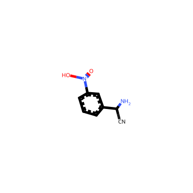 N#CC(N)c1cccc([N+](=O)O)c1